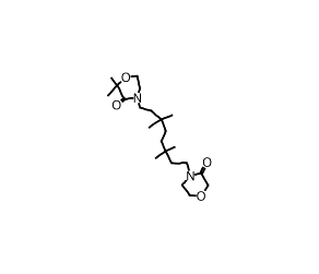 CC(C)(CCN1CCOCC1=O)CCC(C)(C)CCN1CCOC(C)(C)C1=O